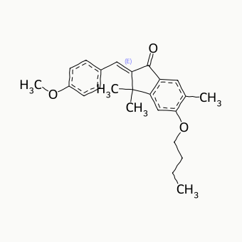 CCCCOc1cc2c(cc1C)C(=O)/C(=C/c1ccc(OC)cc1)C2(C)C